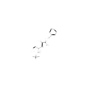 C=C[C@H](N[S@@+]([O-])C(C)(C)C)c1onc(OCc2ccccc2)c1Br